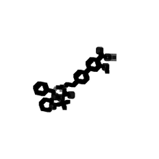 COc1cc(-c2ccc(CCN(C[C@H](OC3CCCCO3)c3ccccc3)C(=O)OC(C)(C)C)cc2)ccc1C(=O)O